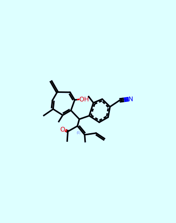 C=C/C(C)=C(/C(C)=O)C(C1=C(C)C(C)=CC(=C)C=C1O)c1ccc(C#N)cc1C